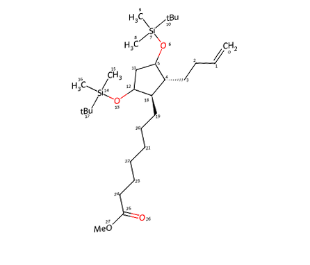 C=CCC[C@H]1C(O[Si](C)(C)C(C)(C)C)CC(O[Si](C)(C)C(C)(C)C)[C@@H]1CCCCCCC(=O)OC